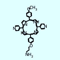 COc1ccc(-c2c3nc(c(-c4ccncc4)c4ccc([nH]4)c(-c4ccc(OCCCN)cc4)c4nc(c(-c5ccncc5)c5ccc2[nH]5)C=C4)C=C3)cc1